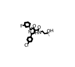 C[C@@H](O)CCNC(=O)c1cc(-c2ccc(Cl)cc2)nn(-c2cccc(F)c2)c1=O